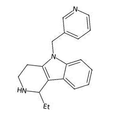 CCC1NCCc2c1c1ccccc1n2Cc1cccnc1